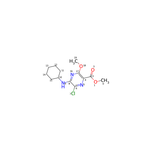 COC(=O)c1nc(Cl)c(NC2CCCCC2)nc1OC